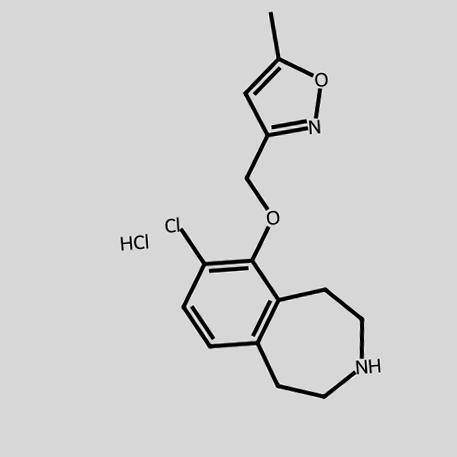 Cc1cc(COc2c(Cl)ccc3c2CCNCC3)no1.Cl